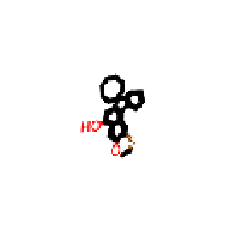 Oc1cc2c(c3cc4c(cc13)OCCS4)-c1ccccc1C21CCCCCCC1